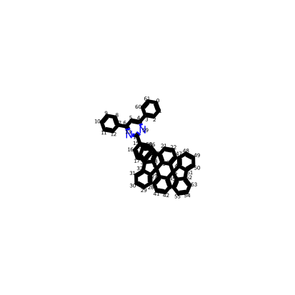 c1ccc(-c2cc(-c3ccccc3)nc(-c3cccc(-c4cccc5c4C4(c6ccccc6-c6ccccc64)c4ccccc4C54c5ccccc5-c5ccccc54)c3)n2)cc1